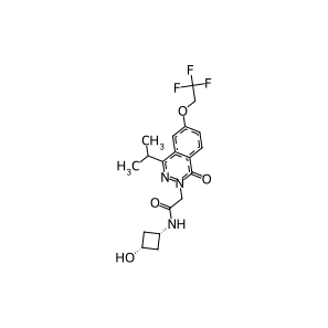 CC(C)c1nn(CC(=O)N[C@H]2C[C@@H](O)C2)c(=O)c2ccc(OCC(F)(F)F)cc12